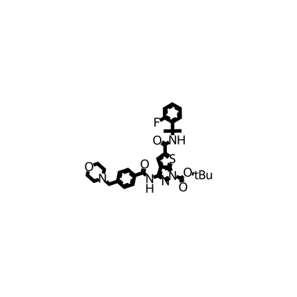 CC(C)(C)OC(=O)n1nc(NC(=O)c2ccc(CN3CCOCC3)cc2)c2cc(C(=O)NC(C)(C)c3ccccc3F)sc21